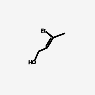 [CH2]C/C(C)=C\CO